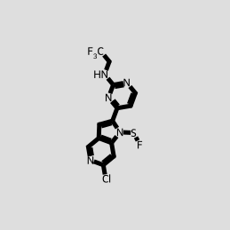 FSn1c(-c2ccnc(NCC(F)(F)F)n2)cc2cnc(Cl)cc21